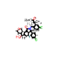 CC[C@@](O)(c1cc(F)c2c(c1)C(=O)N(Cc1ccc(Cl)cc1C(C)(C)C(=O)OC)[C@@]2(OC)c1ccc(Cl)cc1)C1CCOCC1